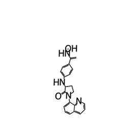 C=C(NO)c1ccc(NC2CCN(c3cccc4cccnc34)C2=O)cc1